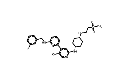 CS(=O)(=O)CCN[C@H]1CC[C@H](Nc2cc(-c3cccc(NCc4cccc(F)c4)n3)c(Cl)cn2)CC1